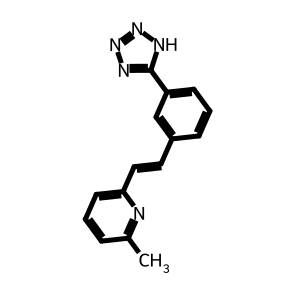 Cc1cccc(C=Cc2cccc(-c3nnn[nH]3)c2)n1